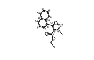 CCOC(=O)c1c(C)noc1-c1cccc2ccccc12